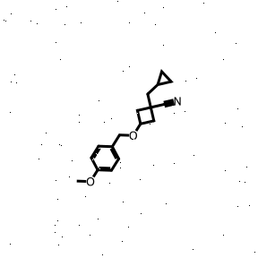 COc1ccc(COC2CC(C#N)(CC3CC3)C2)cc1